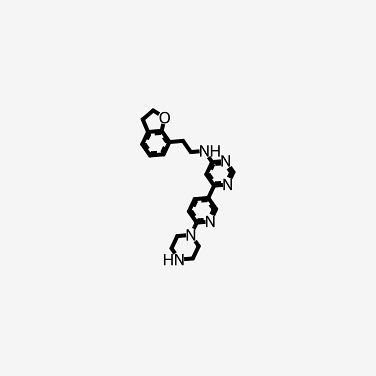 c1cc(CCNc2cc(-c3ccc(N4CCNCC4)nc3)ncn2)c2c(c1)CCO2